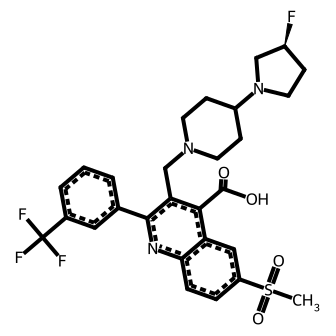 CS(=O)(=O)c1ccc2nc(-c3cccc(C(F)(F)F)c3)c(CN3CCC(N4CC[C@H](F)C4)CC3)c(C(=O)O)c2c1